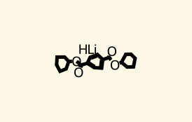 O=C(OC1CCCCC1)c1ccc(C(=O)OC2CCCCC2)cc1.[LiH]